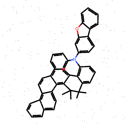 CC1(C)c2cccc(N(c3ccccc3)c3ccc4c(c3)oc3ccccc34)c2-c2ccc3ccc4c5ccccc5ccc4c3c2C1(C)C